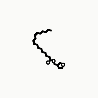 CCCCC/C=C\C/C=C\CCCCCCCC(=O)OCC1CCOC1